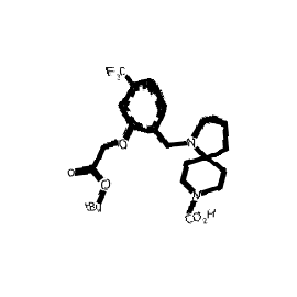 CC(C)(C)OC(=O)COc1cc(C(F)(F)F)ccc1CN1CCCC12CCN(C(=O)O)CC2